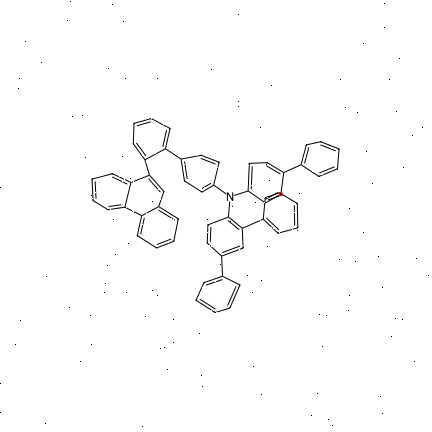 c1ccc(-c2ccc(N(c3ccc(-c4ccccc4-c4cc5ccccc5c5ccccc45)cc3)c3ccc(-c4ccccc4)cc3-c3ccccc3)cc2)cc1